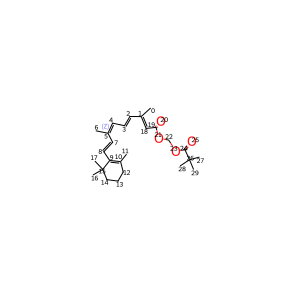 CC(C=C/C=C(/C)C=CC1=C(C)CCCC1(C)C)=CC(=O)OCOC(=O)C(C)(C)C